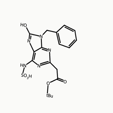 CC(C)(C)OC(=O)Cc1nc(NS(=O)(=O)O)c2nc(O)n(Cc3ccccc3)c2n1